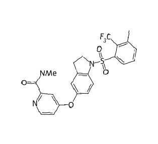 CNC(=O)c1cc(Oc2ccc3c(c2)CCN3S(=O)(=O)c2cccc(C)c2C(F)(F)F)ccn1